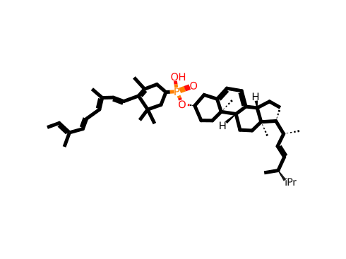 CC=C(C)C=CC=C(C)C=CC1=C(C)CC(P(=O)(O)O[C@H]2CC[C@@]3(C)C(=CC=C4[C@@H]5CC[C@H]([C@H](C)C=C[C@H](C)C(C)C)[C@@]5(C)CC[C@@H]43)C2)CC1(C)C